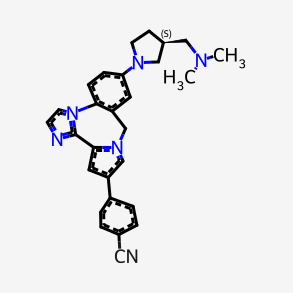 CN(C)C[C@@H]1CCN(c2ccc3c(c2)Cn2cc(-c4ccc(C#N)cc4)cc2-c2nccn2-3)C1